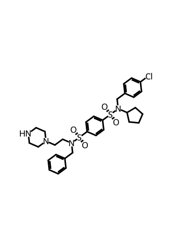 O=S(=O)(c1ccc(S(=O)(=O)N(Cc2ccc(Cl)cc2)C2CCCC2)cc1)N(CCN1CCNCC1)Cc1ccccc1